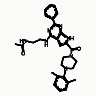 CC(=O)NCCNc1nc(-c2ccccc2)nc2[nH]c(C(=O)N3CCN(c4c(C)cccc4C)CC3)cc12